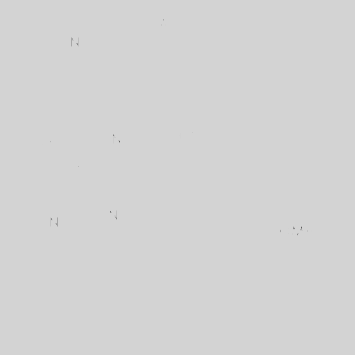 COCCCCn1c(C(=O)N(CC(C)C)[C@@H]2CNC[C@H](C(C)=O)C2)nc2ccccc21